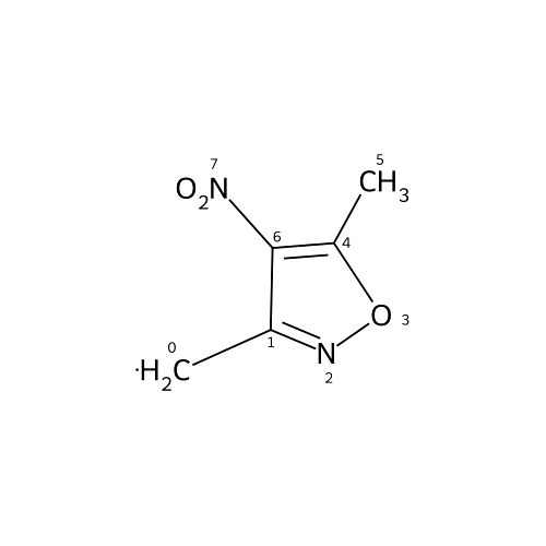 [CH2]c1noc(C)c1[N+](=O)[O-]